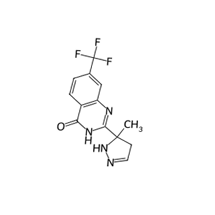 CC1(c2nc3cc(C(F)(F)F)ccc3c(=O)[nH]2)CC=NN1